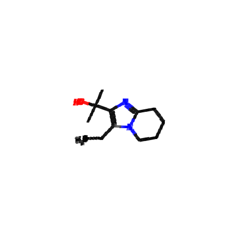 BCc1c(C(C)(C)O)nc2n1CCCC2